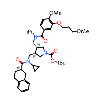 COCCCOc1cc(C(=O)N(C[C@@H]2CN(C(=O)OC(C)(C)C)C[C@H]2CN(C(=O)[C@@H]2CCc3ccccc3C2)C2CC2)C(C)C)ccc1OC